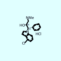 CNC[C@@H](O)[C@H](c1ccccc1)n1ccc2c(Cl)cccc21.Cl